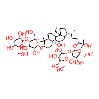 CC[C@@]12CCC([C@H](C)CC[C@@H](O[C@@H]3O[C@H](CO)[C@@H](O)[C@H](O)[C@H]3O[C@@H]3O[C@H](CO)[C@@H](O)[C@H](O)[C@H]3O)C(C)(C)O)[C@@]1(C)C[C@@H](O)[C@@]1(C)C3CC[C@H](O[C@@H]4O[C@H](CO)[C@@H](O[C@@H]5O[C@H](CO)[C@@H](O)[C@H](O)[C@H]5O)[C@H](O)[C@H]4O)C(C)(C)C3=CCC12